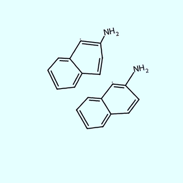 Nc1[c]c2ccccc2cc1.Nc1[c]c2ccccc2cc1